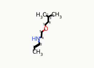 C/C=C/NCCOCCC(C)C